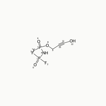 O=P(F)(F)NP(=O)(F)OCC#CO